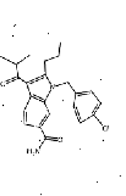 CCCc1c(C(=O)C(C)C)c2ccc(C(N)=O)cc2n1Cc1ccc(Cl)cc1